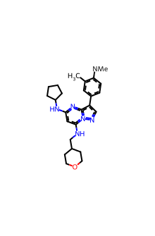 CNc1ccc(-c2cnn3c(NCC4CCOCC4)cc(NC4CCCC4)nc23)cc1C